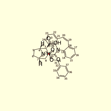 O=C(O)[C@@H]1[C@H]2CC[C@@H](CN1C(=O)N1c3ccccc3C=Cc3ccccc31)N2C(=O)OCc1ccccc1